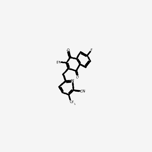 CCC1=C(Cc2ccc(C(F)(F)F)c(C#N)n2)C(=O)c2ccc(F)cc2C1=O